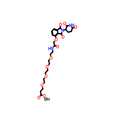 CC(C)(C)OC(=O)CCOCCOCCOCCOCCNC(=O)COc1cccc2c1C(=O)N(C1CCC(=O)NC1=O)C2=O